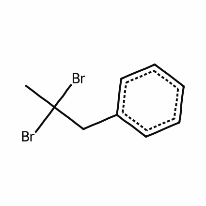 CC(Br)(Br)Cc1ccccc1